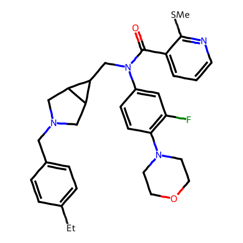 CCc1ccc(CN2CC3C(C2)C3CN(C(=O)c2cccnc2SC)c2ccc(N3CCOCC3)c(F)c2)cc1